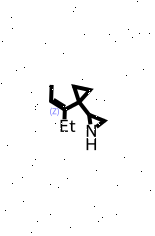 C/C=C(/CC)C1(C2CN2)CC1